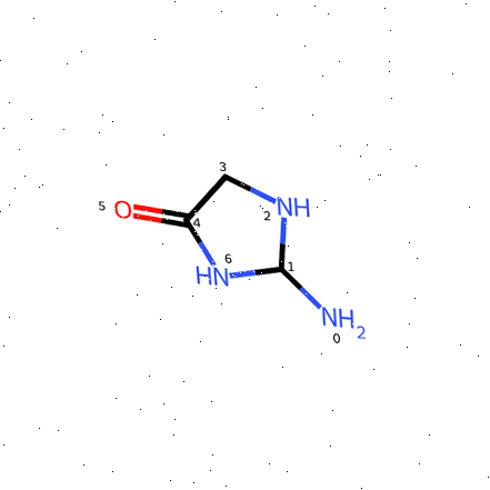 NC1NCC(=O)N1